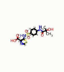 CC(C)(O)C(=O)Nc1ccc(S(=O)(=O)Nc2scnc2C(=O)O)cc1